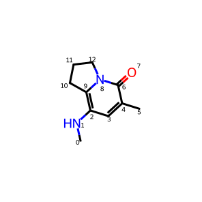 CNc1cc(C)c(=O)n2c1CCC2